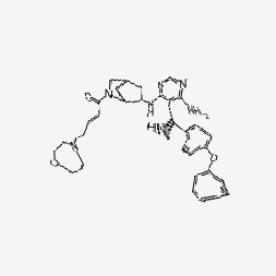 N=C(c1ccc(Oc2ccccc2)cc1)c1c(N)ncnc1NC1CC2CC1N(C(=O)/C=C/CN1CCOCC1)C2